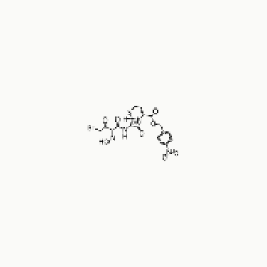 O=C(CBr)C(=NO)C(=O)NC1C(=O)N2C(C(=O)OCc3ccc([N+](=O)[O-])cc3)=CCS[C@@H]12